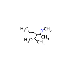 C=N/C(C)=C(\CCC)C(C)C